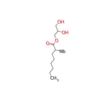 CCCCCC[CH]([Nb])C(=O)OCC(O)CO